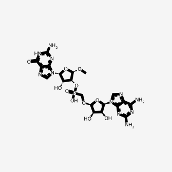 CO[C@H]1O[C@@H](n2cnc3c(=O)[nH]c(N)nc32)[C@@H](O)[C@H]1OP(=O)(O)CO[C@H]1O[C@@H](n2cnc3c(N)nc(N)nc32)[C@@H](O)[C@H]1O